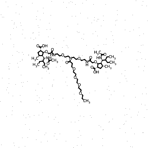 CCCOCCOCCOCCOCCC(=O)N(CCOCCNC(=O)CO[C@H]1[C@@H]([C@H](NC(C)=O)C(CC)CC)[C@H](C)C[C@@H]1C(=O)O)CCOCCNC(=O)CO[C@H]1[C@@H]([C@H](NC(C)=O)C(CC)CC)[C@H](C)C[C@@H]1C(=O)O